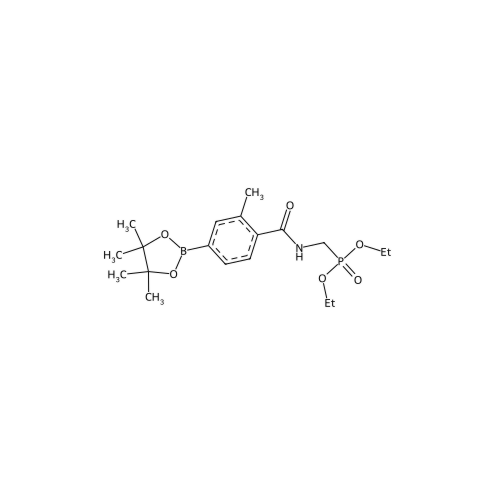 CCOP(=O)(CNC(=O)c1ccc(B2OC(C)(C)C(C)(C)O2)cc1C)OCC